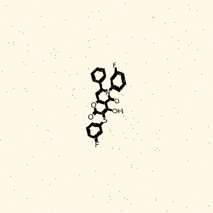 O=c1oc2cc(-c3ccccc3)n(-c3cccc(F)c3)c(=O)c2c(O)c1Sc1cccc(F)c1